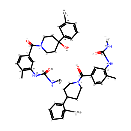 COc1ccccc1C1CCN(C(=O)c2ccc(C)c(NC(=O)NC(C)C)c2)CC1.Cc1ccc(C(=O)N2CCC(O)(c3cccc(C(F)(F)F)c3)CC2)cc1NC(=O)NC(C)C